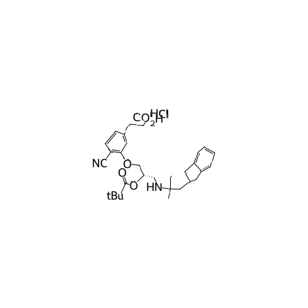 CC(C)(CC1Cc2ccccc2C1)NC[C@@H](COc1cc(CCC(=O)O)ccc1C#N)OC(=O)C(C)(C)C.Cl